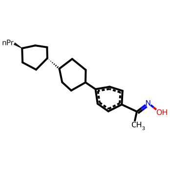 CCC[C@H]1CC[C@H](C2CCC(c3ccc(C(C)=NO)cc3)CC2)CC1